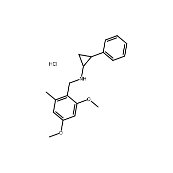 COc1cc(C)c(CNC2CC2c2ccccc2)c(OC)c1.Cl